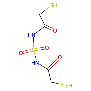 O=C(CS)NS(=O)(=O)NC(=O)CS